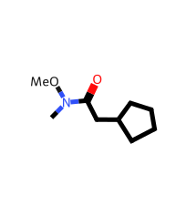 CON(C)C(=O)CC1CCCC1